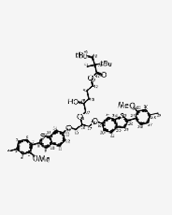 COc1cc(C)ccc1-c1cc2ccc(OCC(COc3ccc4cc(-c5ccc(C)cc5OC)sc4c3)OCC(O)CCCOC(=O)C(C)(CC(C)(C)C)C(C)(C)C)cc2s1